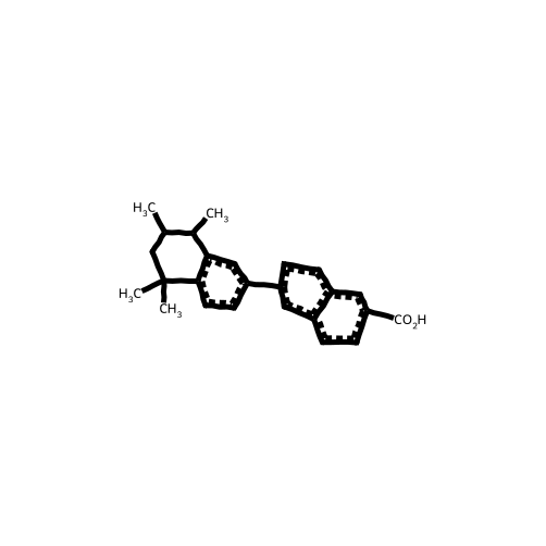 CC1CC(C)(C)c2ccc(-c3ccc4cc(C(=O)O)ccc4c3)cc2C1C